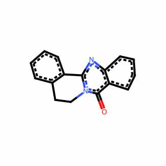 O=c1c2ccccc2nc2n1CCc1ccccc1-2